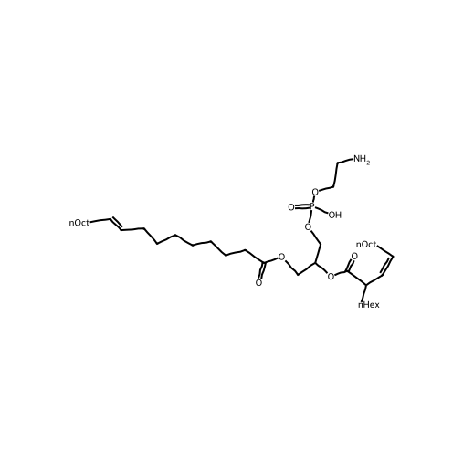 CCCCCCCC/C=C\C(CCCCCC)C(=O)OC(COC(=O)CCCCCCC/C=C/CCCCCCCC)COP(=O)(O)OCCN